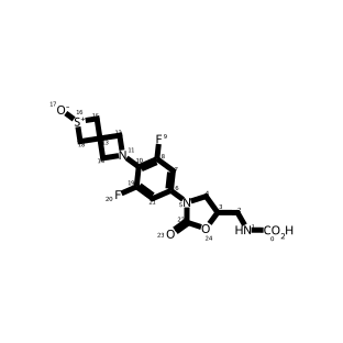 O=C(O)NCC1CN(c2cc(F)c(N3CC4(C3)C[S+]([O-])C4)c(F)c2)C(=O)O1